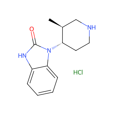 C[C@H]1CNCC[C@@H]1n1c(=O)[nH]c2ccccc21.Cl